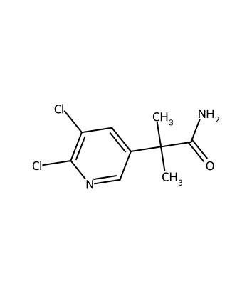 CC(C)(C(N)=O)c1cnc(Cl)c(Cl)c1